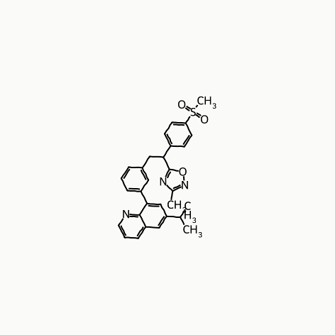 Cc1noc(C(Cc2cccc(-c3cc(C(C)C)cc4cccnc34)c2)c2ccc(S(C)(=O)=O)cc2)n1